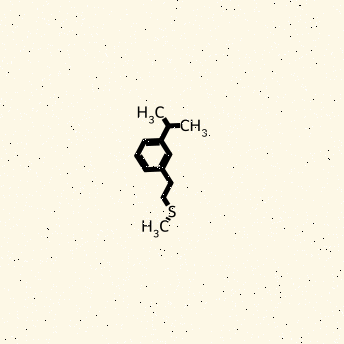 CSCCc1cccc(C(C)C)c1